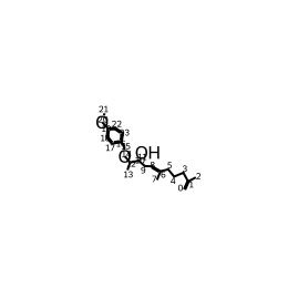 C=C(C)CCC/C(C)=C/CC(O)C(C)OCc1ccc(OC)cc1